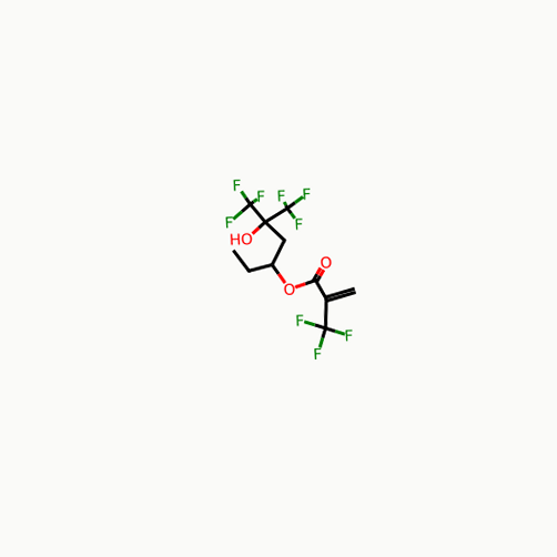 C=C(C(=O)OC(CC)CC(O)(C(F)(F)F)C(F)(F)F)C(F)(F)F